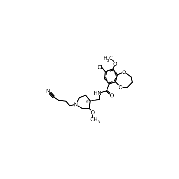 COc1c(Cl)cc(C(=O)NC[C@@H]2CCN(CCCC#N)CC2OC)c2c1OCCCO2